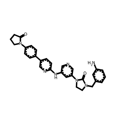 Nc1cccc(CN2CCN(c3cncc(Nc4ccc(-c5ccc(N6CCCC6=O)cc5)cn4)c3)C2=O)c1